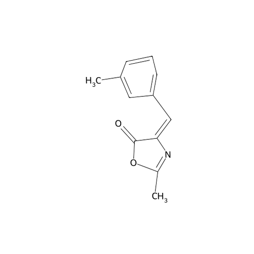 CC1=NC(=Cc2cccc(C)c2)C(=O)O1